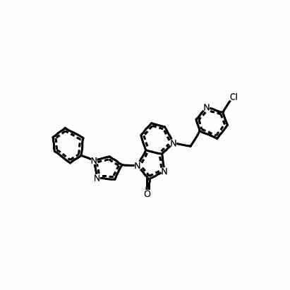 O=c1nc2n(Cc3ccc(Cl)nc3)cccc-2n1-c1cnn(-c2ccccc2)c1